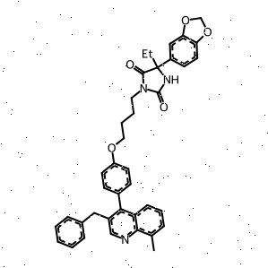 CCC1(c2ccc3c(c2)OCO3)NC(=O)N(CCCCOc2ccc(-c3c(Cc4ccccc4)cnc4c(C)cccc34)cc2)C1=O